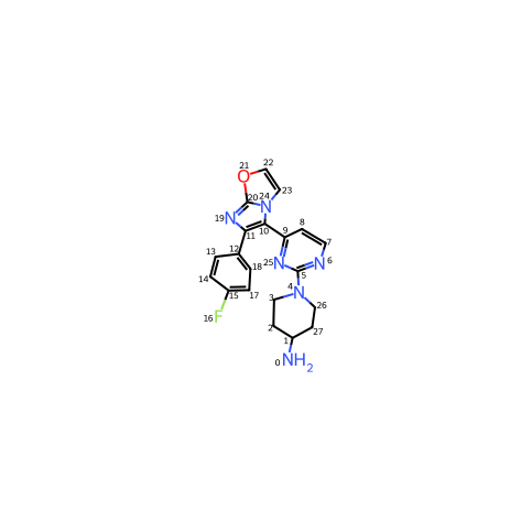 NC1CCN(c2nccc(-c3c(-c4ccc(F)cc4)nc4occn34)n2)CC1